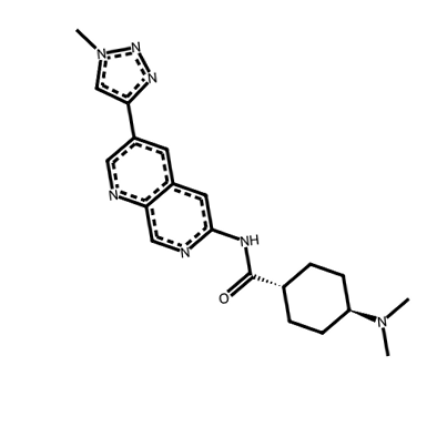 Cn1cc(-c2cnc3cnc(NC(=O)[C@H]4CC[C@H](N(C)C)CC4)cc3c2)nn1